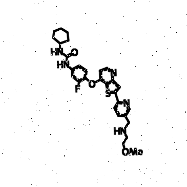 COCCNCc1ccc(-c2cc3nccc(Oc4ccc(NC(=O)NC5CCCCC5)cc4F)c3s2)nc1